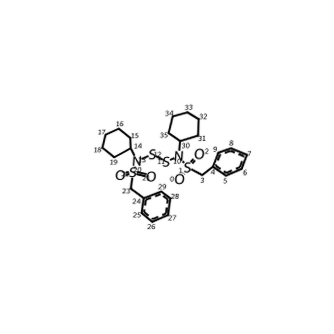 O=S(=O)(Cc1ccccc1)N(SSN(C1CCCCC1)S(=O)(=O)Cc1ccccc1)C1CCCCC1